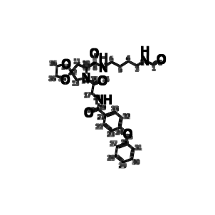 O=CNCCCCNC(=O)[C@@H]1CC2(CN1C(=O)CNC(=O)c1ccc(Oc3ccccc3)cc1)OCCO2